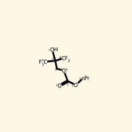 CCCOC(=O)OCC(O)(C(F)(F)F)C(F)(F)F